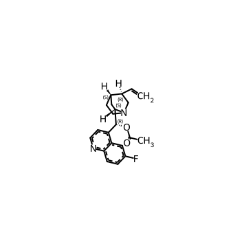 C=C[C@H]1CN2CC[C@H]1C[C@H]2[C@H](OC(C)=O)c1ccnc2ccc(F)cc12